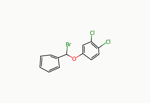 Clc1ccc(OC(Br)c2ccccc2)cc1Cl